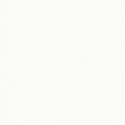 CCOc1c2occc2c(OC)c2c(=O)cc(C)oc12